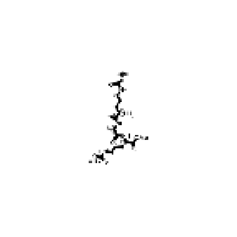 COC(=O)[C@@H](CCCNC(=O)OC(C)(C)C)NC(=O)[C@@H](C)NC(=O)[C@H](N)CCCNC(=O)OC(C)(C)C